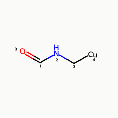 O=CN[CH2][Cu]